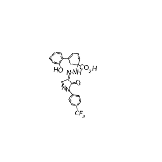 O=C1C(=NNC2(C(=O)O)C=CC=C(c3ccccc3O)C2)C=NN1c1ccc(C(F)(F)F)cc1